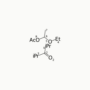 CC(C)C(=O)C(C)C.CCOC(C)OC(C)=O